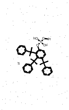 CC(C)[O][Ti]([OH])([OH])[O]c1ccc(C(C)(C)c2ccccc2)c(C(C)(C)c2ccccc2)c1C(C)(C)c1ccccc1.[Ti]